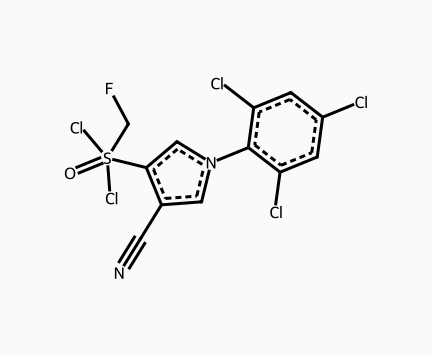 N#Cc1cn(-c2c(Cl)cc(Cl)cc2Cl)cc1S(=O)(Cl)(Cl)CF